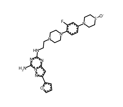 Nc1nc(NCCN2CCN(c3ccc(N4CC[S+]([O-])CC4)cc3F)CC2)nc2cc(-c3ccco3)nn12